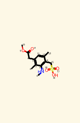 CNc1c(C)c(CC(=O)OC)cc(C)c1CS(=O)(=O)O